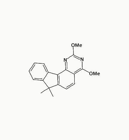 COc1nc(OC)c2ccc3c(c2n1)-c1ccccc1C3(C)C